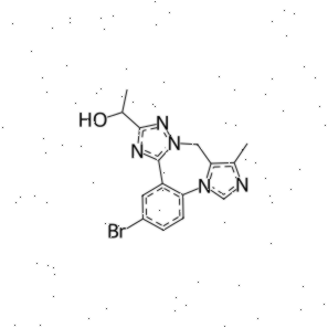 Cc1ncn2c1Cn1nc(C(C)O)nc1-c1cc(Br)ccc1-2